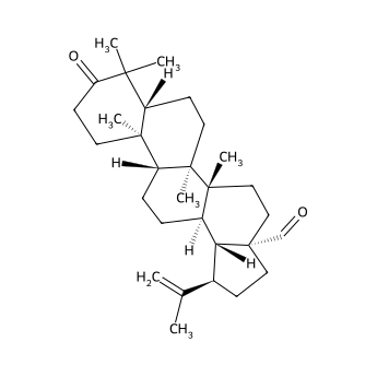 C=C(C)[C@@H]1CC[C@]2(C=O)CC[C@]3(C)[C@H](CC[C@@H]4[C@@]5(C)CCC(=O)C(C)(C)[C@@H]5CC[C@]43C)[C@@H]12